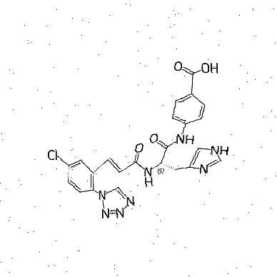 O=C(C=Cc1cc(Cl)ccc1-n1cnnn1)N[C@@H](Cc1c[nH]cn1)C(=O)Nc1ccc(C(=O)O)cc1